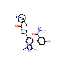 CCN(C(=O)c1cc(F)ccc1-c1cc(C2CN(C(=O)[C@@H]3NC4CCC3CC4)C2)cn2c(C)nc(F)c12)C(C)C